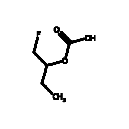 CCC(CF)OC(=O)O